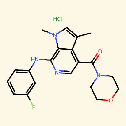 Cc1cn(C)c2c(Nc3cccc(F)c3)ncc(C(=O)N3CCOCC3)c12.Cl